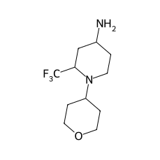 NC1CCN(C2CCOCC2)C(C(F)(F)F)C1